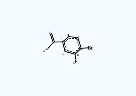 C=C(F)c1ccc(Br)c(F)c1